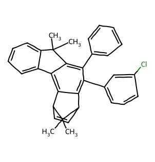 CC1(C)c2ccccc2-c2c3c(c(-c4cccc(Cl)c4)c(-c4ccccc4)c21)C1C=CC3C1(C)C